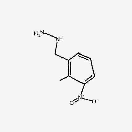 Cc1c(CNN)cccc1[N+](=O)[O-]